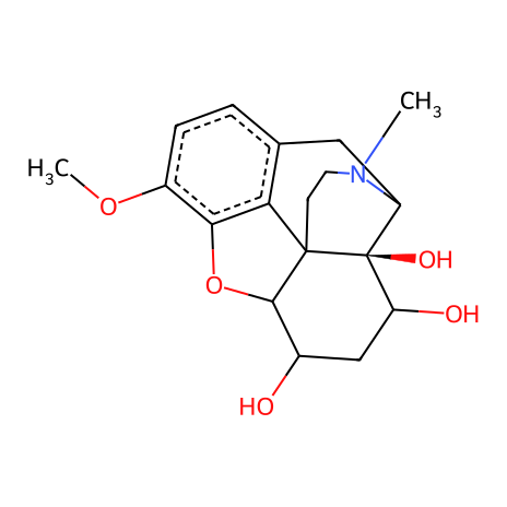 COc1ccc2c3c1OC1C(O)CC(O)[C@@]4(O)C(C2)N(C)CCC314